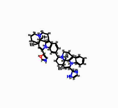 CC[C@@]12C=C(c3cnco3)n3c4c(c5ccc(C6CC[C@@]7(CC)C=C(c8ncc[nH]8)n8c9c(c%10ccccc%108)CCN6[C@H]97)cc53)CCN(CCC1)[C@H]42